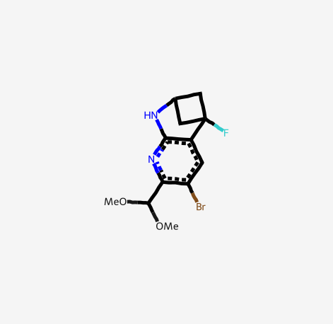 COC(OC)c1nc2c(cc1Br)C1(F)CC(C1)N2